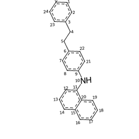 c1ccc(CCc2ccc(Nc3cccc4ccccc34)cc2)cc1